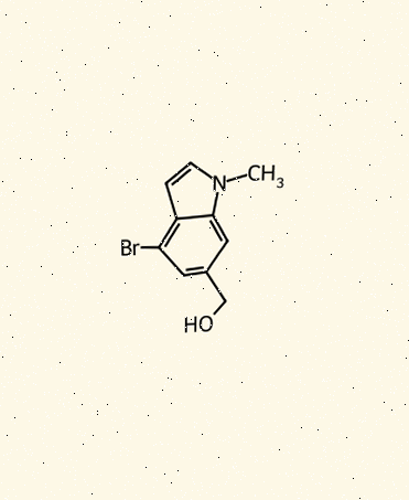 Cn1ccc2c(Br)cc(CO)cc21